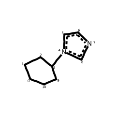 [CH]1CCC(n2ccnc2)CC1